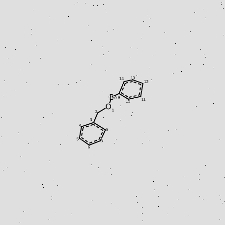 [B](OCc1ccccc1)c1ccccc1